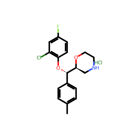 Cc1ccc([C@H](Oc2ccc(F)cc2Cl)[C@@H]2CNCCO2)cc1.Cl